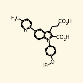 CC(C)Oc1ccc(-n2c(C(=O)O)c(CCC(=O)O)c3cc(-c4ccc(C(F)(F)F)cn4)ccc32)cc1